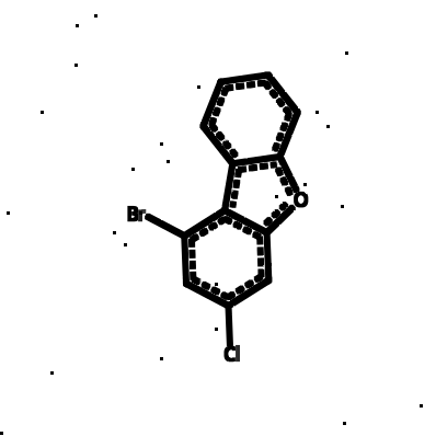 Clc1cc(Br)c2c(c1)oc1ccccc12